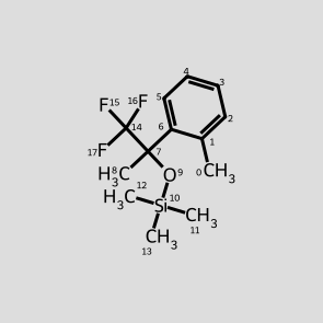 Cc1ccccc1C(C)(O[Si](C)(C)C)C(F)(F)F